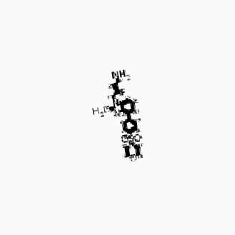 Cc1nc2c(-c3ccc(S(=O)(=O)N4CCOCC4)cc3)cccc2n1C/C(F)=C/CN